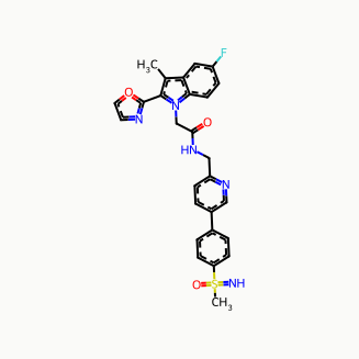 Cc1c(-c2ncco2)n(CC(=O)NCc2ccc(-c3ccc(S(C)(=N)=O)cc3)cn2)c2ccc(F)cc12